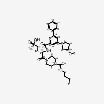 CCCCOC(=O)N1CCN(C(=O)[C@H](CCP(=O)(O)O)NC(=O)c2cc(N3CC[C@H](OC)C3)cc(-c3ccccc3)n2)CC1